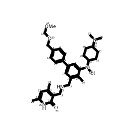 CCN(c1cc(-c2ccc(COCOC)cc2)cc(CNCc2c(C)cc(C)[nH]c2=O)c1C)C1CCC(N(C)C)CC1